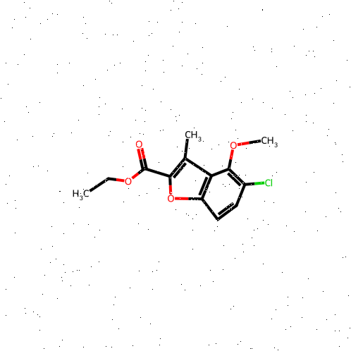 CCOC(=O)c1oc2ccc(Cl)c(OC)c2c1C